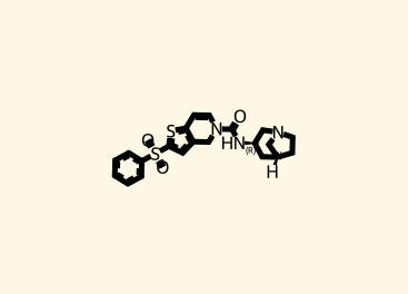 O=C(N[C@@H]1C[C@H]2CCN(C2)C1)N1C=Cc2sc(S(=O)(=O)c3ccccc3)cc2C1